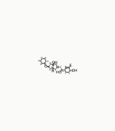 Oc1ccc([C@H](O)CN2C[C@@H]3C[C@@H](Oc4ccccc4)C[C@]3(O)C2)nc1F